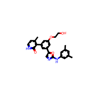 Cc1cc(C)cc(Nc2ncc(-c3cc(OCCO)cc(-c4c(C)cc[nH]c4=O)c3)o2)c1